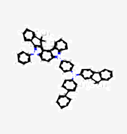 CC1(C)c2ccccc2-c2ccc(N(c3ccc(-c4ccccc4)cc3)c3ccc(-n4c5ccccc5c5c6c7c(n(-c8ccccc8)c6ccc54)-c4ccccc4C7(C)C)cc3)cc21